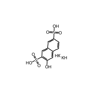 O=S(=O)(O)c1ccc2cc(O)c(S(=O)(=O)O)cc2c1.[KH].[KH]